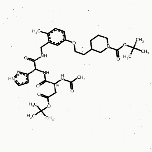 CC(=O)N[C@@H](CC(=O)OC(C)(C)C)C(=O)NC(C(=O)NCc1cc(OCCC2CCCN(C(=O)OC(C)(C)C)C2)ccc1C)c1cc[nH]n1